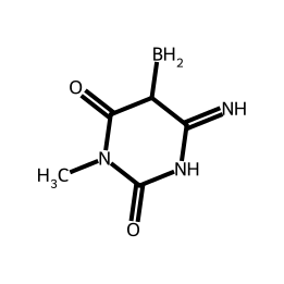 BC1C(=N)NC(=O)N(C)C1=O